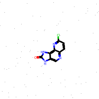 O=c1[nH]c2cnc3ccc(Cl)nc3c2[nH]1